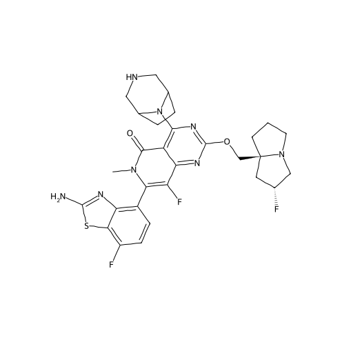 Cn1c(-c2ccc(F)c3sc(N)nc23)c(F)c2nc(OC[C@@]34CCCN3C[C@H](F)C4)nc(N3C4CCC3CNC4)c2c1=O